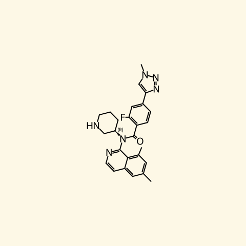 Cc1cc(C)c2c(N(C(=O)c3ccc(-c4cn(C)nn4)cc3F)[C@@H]3CCCNC3)nccc2c1